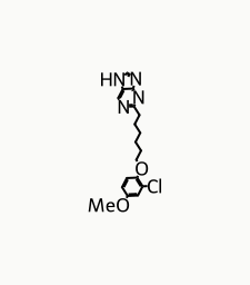 COc1ccc(OCCCCCCc2ncc3[nH]cnc3n2)c(Cl)c1